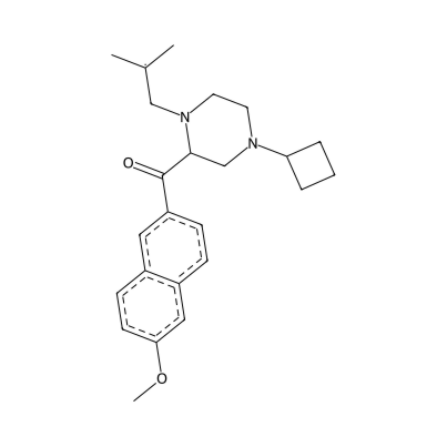 COc1ccc2cc(C(=O)C3CN(C4CCC4)CCN3C[C](C)C)ccc2c1